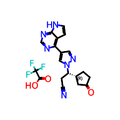 N#CCC([C@@H]1CCC(=O)C1)n1cc(-c2ncnc3[nH]ccc23)cn1.O=C(O)C(F)(F)F